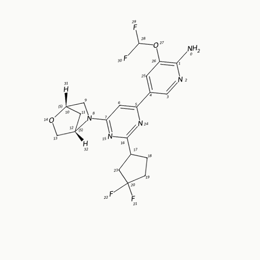 Nc1ncc(-c2cc(N3C[C@@H]4C[C@H]3CO4)nc(C3CCC(F)(F)C3)n2)cc1OC(F)F